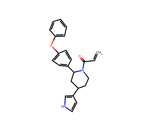 C=CC(=O)N1CCC(c2cc[nH]c2)CC1c1ccc(Oc2ccccc2)cc1